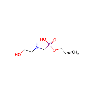 C=CCOP(=O)(O)CNCCO